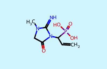 C=CC(N1C(=N)N(C)CC1=O)P(=O)(O)O